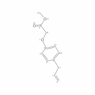 C=CCc1ccc(OCC(=O)OC)cc1